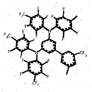 Cc1cc(-c2cc(N(c3c(F)c(F)c(C)c(F)c3F)c3c(F)c(F)c(C(F)(F)F)c(F)c3F)cc(N(c3c(F)c(F)c(C(F)(F)F)c(F)c3F)c3c(F)c(F)c(C(F)(F)F)c(F)c3F)c2)cc(C(F)(F)F)c1